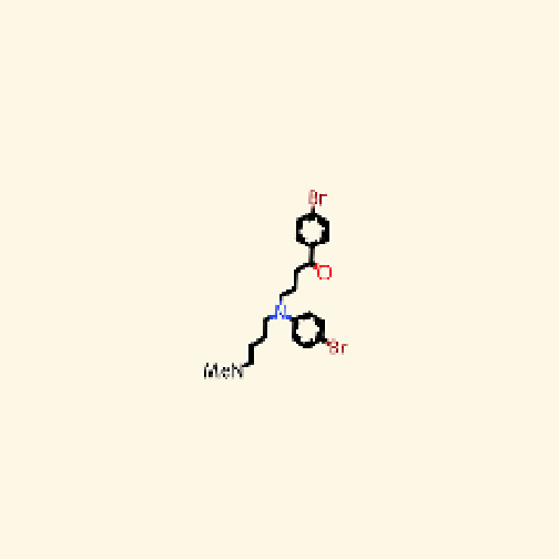 CNCCCCN(CCCC(=O)c1ccc(Br)cc1)c1ccc(Br)cc1